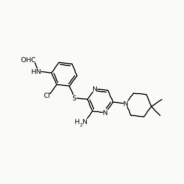 CC1(C)CCN(c2cnc(Sc3cccc(NC=O)c3Cl)c(N)n2)CC1